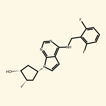 C[C@H]1C[C@@H](n2ccc3c(NCc4c(F)cccc4F)ncnc32)C[C@H]1O